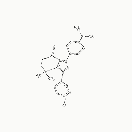 CN(C)c1ccc(-c2nn(-c3ccc(Cl)nn3)c3c2C(=O)CCC3(C)C)cc1